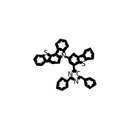 c1ccc(-c2cc(-c3cc(-n4c5ccccc5c5c6sc7ccccc7c6ccc54)cc4c3sc3ccccc34)nc(-c3ccccc3)n2)cc1